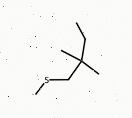 [CH2]SCC(C)(C)CC